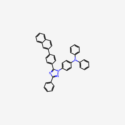 c1ccc(-c2nc(-c3ccc(-c4ccc5ccccc5c4)cc3)n(-c3ccc(N(c4ccccc4)c4ccccc4)cc3)n2)cc1